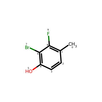 Cc1ccc(O)c(Br)c1F